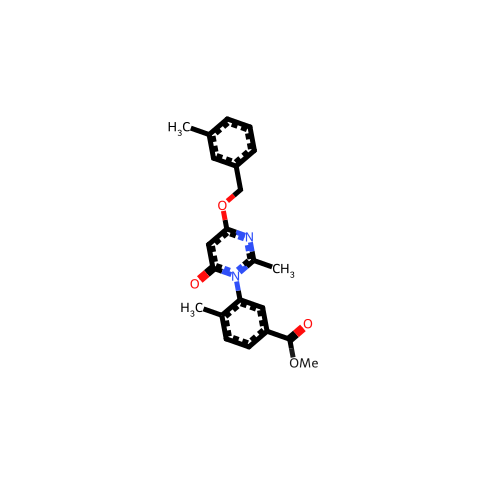 COC(=O)c1ccc(C)c(-n2c(C)nc(OCc3cccc(C)c3)cc2=O)c1